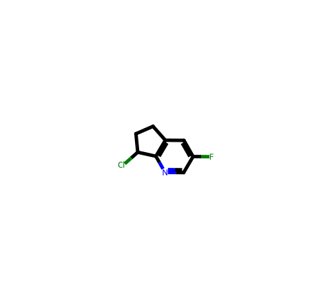 Fc1cnc2c(c1)CCC2Cl